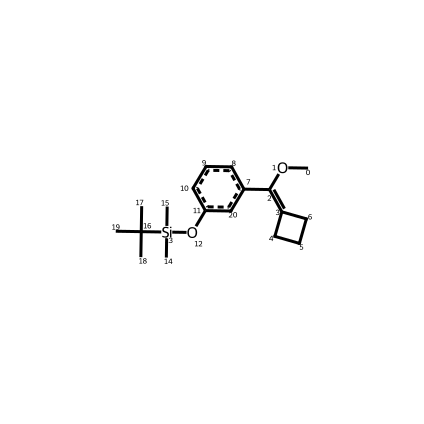 COC(=C1CCC1)c1cccc(O[Si](C)(C)C(C)(C)C)c1